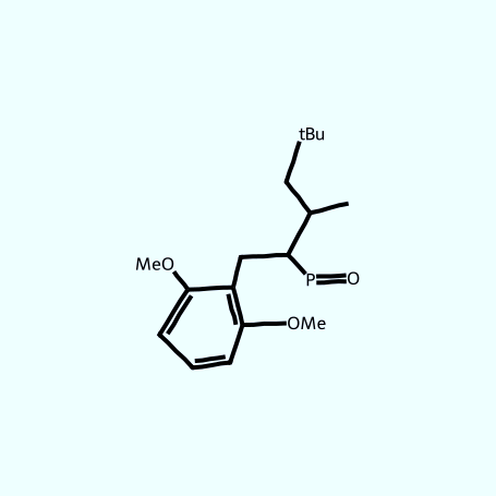 COc1cccc(OC)c1CC(P=O)C(C)CC(C)(C)C